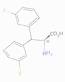 N[C@H](C(=O)O)C(c1cccc(F)c1)c1cccc(F)c1